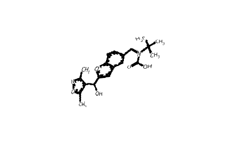 Cc1noc(C)c1C(O)c1cc2cc(CN(C(=O)O)C(C)(C)C)ccc2o1